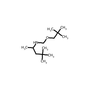 CC(CC(C)(C)C)NCOCC(C)(C)C